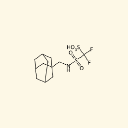 O=S(=O)(O)C(F)(F)S(=O)(=O)NCC12CC3CC(CC(C3)C1)C2